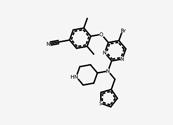 Cc1cc(C#N)cc(C)c1Oc1nc(N(Cc2ccsc2)C2CCNCC2)ncc1Br